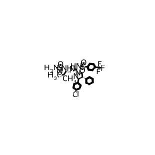 CC(C)[C@@H](C/N=C(/NS(=O)(=O)c1ccc(C(F)(F)F)cc1)N1C[C@H](c2ccccc2)C(c2ccc(Cl)cc2)=N1)NS(N)(=O)=O